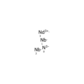 [N-3].[Nb].[Nb].[Nd+3]